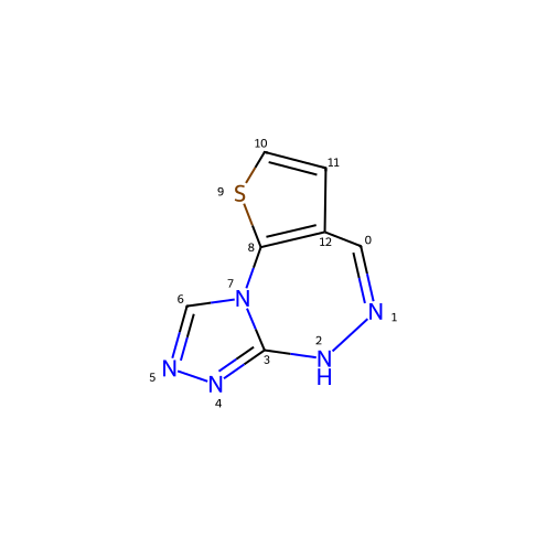 C1=NNc2nncn2-c2sccc21